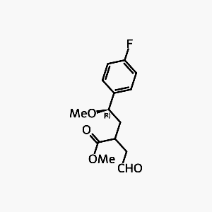 COC(=O)C(CC=O)C[C@@H](OC)c1ccc(F)cc1